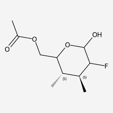 CC(=O)OCC1OC(O)C(F)[C@@H](C)[C@@H]1C